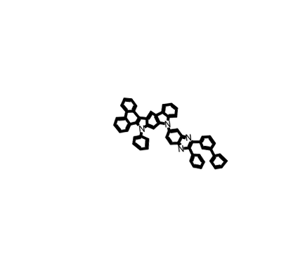 c1ccc(-c2cccc(-c3nc4cc(-n5c6ccccc6c6cc7c8c9ccccc9c9ccccc9c8n(-c8ccccc8)c7cc65)ccc4nc3-c3ccccc3)c2)cc1